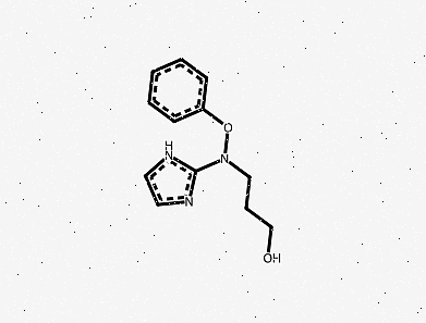 OCCCN(Oc1ccccc1)c1ncc[nH]1